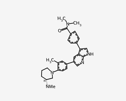 CN[C@@H]1CCCN(c2ccc(-c3cnc4[nH]cc(-c5ccc(C(=O)N(C)C)cc5)c4c3)cc2C)C1